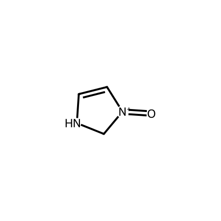 O=[N+]1C=CNC1